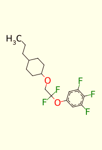 CCCC1CCC(OCC(F)(F)Oc2cc(F)c(F)c(F)c2)CC1